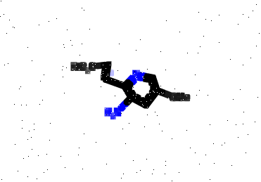 CCOC(=O)/C=C/c1ncc(OC)cc1N